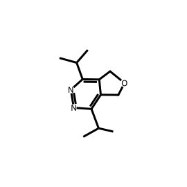 CC(C)c1nnc(C(C)C)c2c1COC2